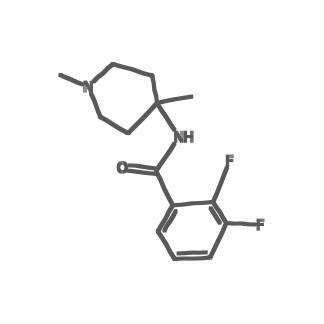 CN1CCC(C)(NC(=O)c2cccc(F)c2F)CC1